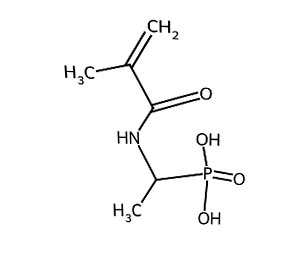 C=C(C)C(=O)NC(C)P(=O)(O)O